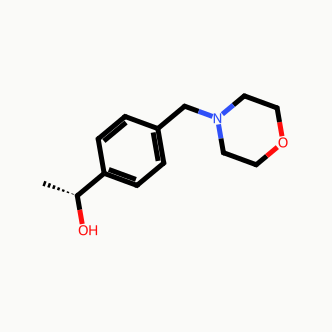 C[C@@H](O)c1ccc(CN2CCOCC2)cc1